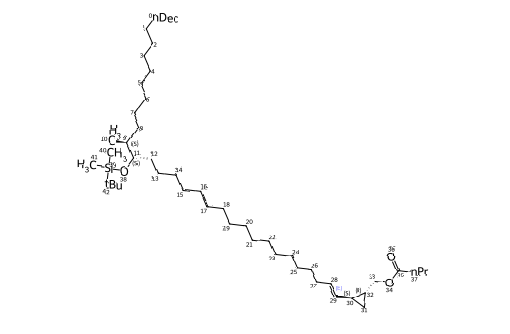 CCCCCCCCCCCCCCCCCC[C@H](C)[C@H](CCCCCCCCCCCCCCCC/C=C/[C@@H]1C[C@H]1COC(=O)CCC)O[Si](C)(C)C(C)(C)C